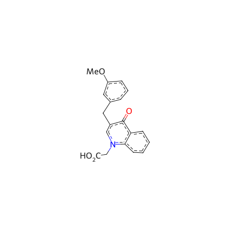 COc1cccc(Cc2cn(CC(=O)O)c3ccccc3c2=O)c1